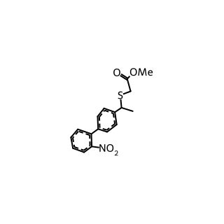 COC(=O)CSC(C)c1ccc(-c2ccccc2[N+](=O)[O-])cc1